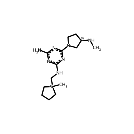 CN[C@@H]1CCN(c2nc(N)nc(NC[Si]3(C)CCCC3)n2)C1